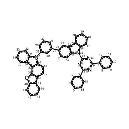 c1ccc(-c2nc(-c3ccccc3)nc(-n3c4ccccc4c4cc(-c5cccc(-n6c7ccccc7c7c8oc9ccccc9c8ccc76)c5)ccc43)n2)cc1